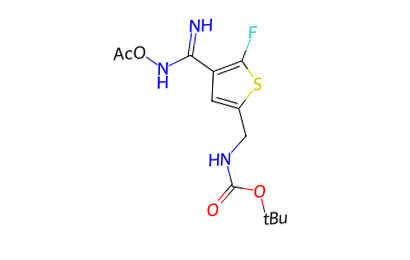 CC(=O)ONC(=N)c1cc(CNC(=O)OC(C)(C)C)sc1F